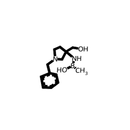 CB(O)NC1(CO)CCN(Cc2ccccc2)C1